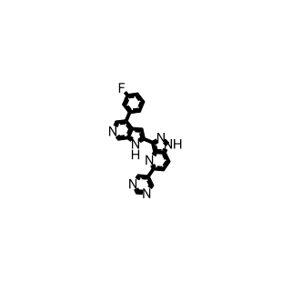 Fc1cccc(-c2cncc3[nH]c(-c4n[nH]c5ccc(-c6cncnc6)nc45)cc23)c1